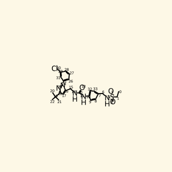 CCS(=O)(=O)NCc1ccc(NC(=O)NCc2cc(C(C)(C)C)nn2-c2cccc(Cl)c2)cc1